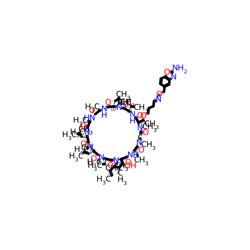 C/C=C/C[C@@H](C)[C@@H](O)[C@@H]1C(=O)N[C@@H](CC)C(=O)N(C)CC(=O)N(C)[C@@H]([C@@H](C)OCCC/C=N/OCc2ccc3oc(N)nc3c2)C(=O)N[C@@H](C(C)C)C(=O)N(C)[C@@H](CC(C)C)C(=O)N[C@@H](C)C(=O)N[C@H](C)C(=O)N(C)[C@@H](CC(C)C)C(=O)N(C)[C@@H](CC(C)C)C(=O)N(C)[C@@H](C(C)C)C(=O)N1C